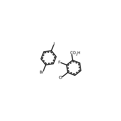 Brc1ccc(I)cc1.O=C(O)c1cccc(Cl)c1F